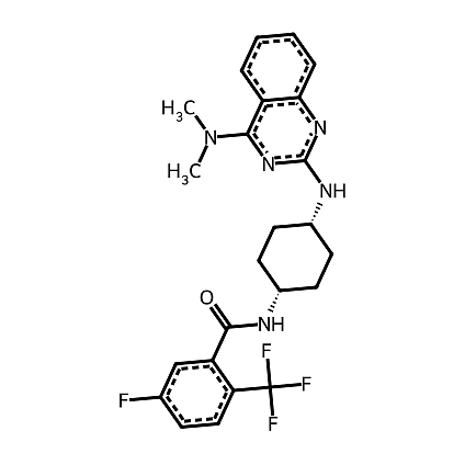 CN(C)c1nc(N[C@H]2CC[C@@H](NC(=O)c3cc(F)ccc3C(F)(F)F)CC2)nc2ccccc12